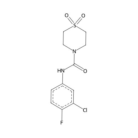 O=C(Nc1ccc(F)c(Cl)c1)N1CCS(=O)(=O)CC1